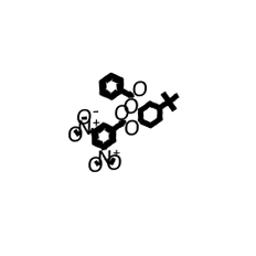 CC(C)(C)C1CCC(OC(=O)c2cc([N+](=O)[O-])cc([N+](=O)[O-])c2)[C@H](OC(=O)c2ccccc2)C1